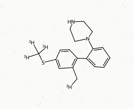 [2H]Cc1cc(SC([2H])([2H])[2H])ccc1-c1ccccc1N1CCNCC1